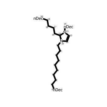 CCCCCCCCCCCCCCCCCCCN1C=CN(CCCCCCCCCC)C1CCCCCCCCCCCCCC